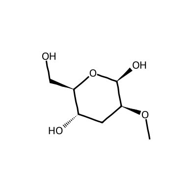 CO[C@H]1C[C@H](O)[C@@H](CO)O[C@H]1O